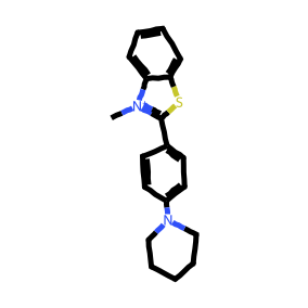 C[n+]1c(-c2ccc(N3CCCCC3)cc2)sc2ccccc21